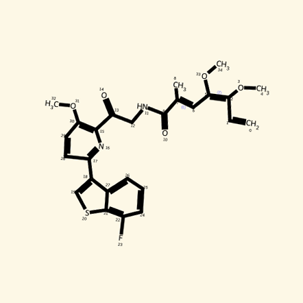 C=C/C(OC)=C(\C=C(/C)C(=O)NCC(=O)c1nc(-c2csc3c(F)cccc23)ccc1OC)OC